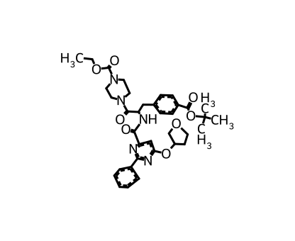 CCOC(=O)N1CCN(C(=O)C(Cc2ccc(C(=O)OC(C)(C)C)cc2)NC(=O)c2cc(OC3CCOC3)nc(-c3ccccc3)n2)CC1